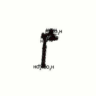 CCN(COCC(=O)[C@@]12O[C@H](c3cccc(F)c3)O[C@@H]1C[C@H]1[C@@H]3C[C@H](F)C4=CC(=O)C=C[C@]4(C)[C@@]3(F)[C@@H](O)C[C@@]12C)C(=O)OCc1ccc(O[C@@H]2O[C@H](C(=O)O)[C@@H](O)[C@H](O)[C@H]2O)c(NC(=O)CCNC(=O)CCc2ccc(N3C(=O)C=CC3=O)cc2C(=O)NCC(=O)NCC(=O)NCCOCCOCCOCCOCCOCCOCCOCCOCCOCCOCCOCCOCCC(=O)N[C@@H](CCC(=O)O)C(=O)O)c1